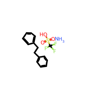 N.O=S(=O)(O)C(F)(F)F.c1ccc(CCc2ccccc2)cc1